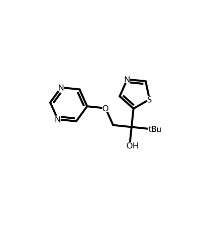 CC(C)(C)C(O)(COc1cncnc1)c1cncs1